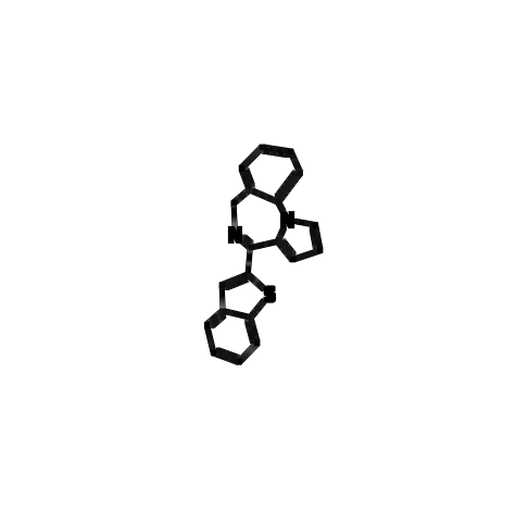 c1ccc2c(c1)CN=C(c1cc3ccccc3s1)c1cccn1-2